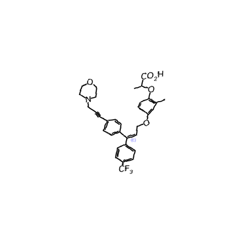 Cc1cc(OC/C=C(\c2ccc(C#CCN3CCOCC3)cc2)c2ccc(C(F)(F)F)cc2)ccc1OC(C)C(=O)O